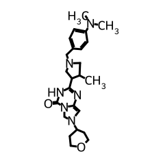 CC1CN(Cc2ccc(N(C)C)cc2)CC1C1=NC2=CN(C3CCOCC3)CN2C(=O)N1